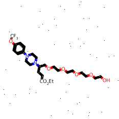 CCOC(=O)CCC(COCCOCCOCCOCCO)N1CCN(c2ccc(OC(F)(F)F)cc2)CC1